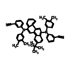 Cc1ccc(N(c2cccc(C#N)c2)c2cc3c4cc(C(C)(C)C)ccc4c(N(c4cccc(C#N)c4)c4ccc(C)c(C)c4)cc3c3ccccc23)cc1C